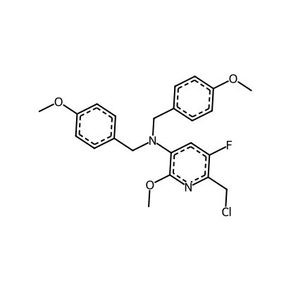 COc1ccc(CN(Cc2ccc(OC)cc2)c2cc(F)c(CCl)nc2OC)cc1